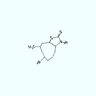 CC1CC(C(C)C)CCCC2C(C1)SC(=S)N2C(C)C